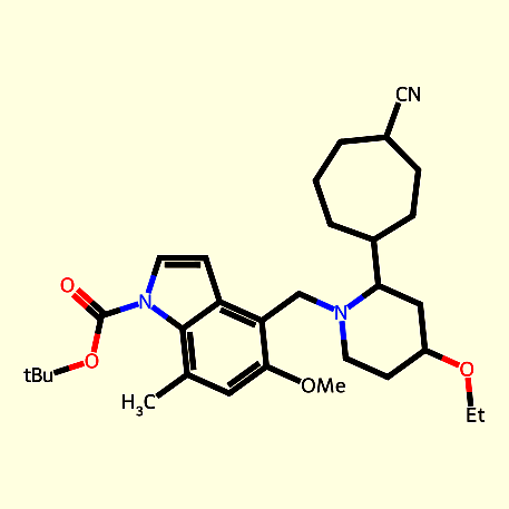 CCOC1CCN(Cc2c(OC)cc(C)c3c2ccn3C(=O)OC(C)(C)C)C(C2CCCC(C#N)CC2)C1